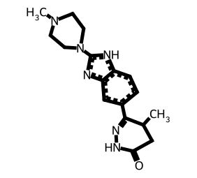 CC1CC(=O)NN=C1c1ccc2[nH]c(N3CCN(C)CC3)nc2c1